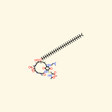 COC(=O)[C@H](CSC1=C2NC(=O)/C(C)=C/C=C\[C@H](OC)[C@@H](OC=O)/C(C)=C/[C@H](C)[C@@H](O)[C@@H](OC(C)(C)C(C)(C)C(C)(C)C(C)(C)C(C)(C)C(C)(C)C(C)(C)C(C)(C)C(C)(C)C(C)(C)C(C)(C)C(C)(C)C(C)(C)C(C)(C)C(C)(C)C(C)(C)C(C)(C)C(C)(C)C(C)(C)C(C)(C)C(C)(C)C(C)(C)C(C)(C)C(C)C)C[C@H](C)CC(=C(NCCN(C)C)C1=O)C2=O)NC(C)=O